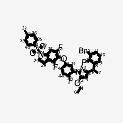 CCOc1cc(C(C)c2cccc(Br)c2F)nn1-c1cc(Oc2c(F)cc3c(ccn3S(=O)(=O)c3ccc(C)cc3)c2F)ccc1F